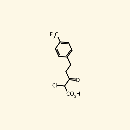 O=C(O)C(Cl)C(=O)CCc1ccc(C(F)(F)F)cc1